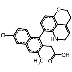 Cc1cc2cc(Cl)ccc2c(-c2ccc3c4c2NCC=C4CCO3)c1CC(=O)O